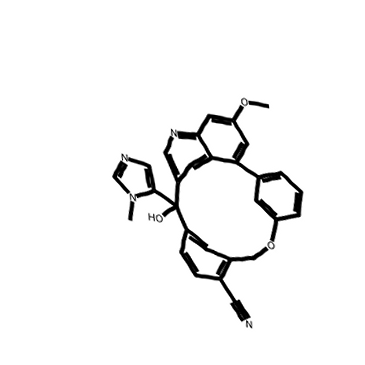 COc1cc2c3cc(cnc3c1)C(O)(c1cncn1C)c1ccc(C#N)c(c1)COc1cccc-2c1